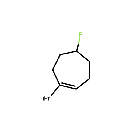 CC(C)C1=CCCC(F)CC1